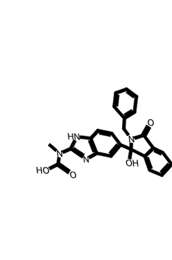 CN(C(=O)O)c1nc2cc(C3(O)c4ccccc4C(=O)N3Cc3ccccc3)ccc2[nH]1